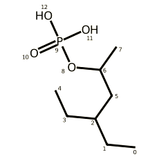 CCC(CC)CC(C)OP(=O)(O)O